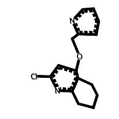 Clc1cc(OCc2ccccn2)c2c(n1)CCCC2